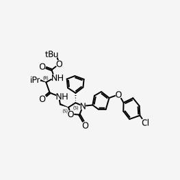 CC(C)[C@@H](NC(=O)OC(C)(C)C)C(=O)NC[C@@H]1OC(=O)N(c2ccc(Oc3ccc(Cl)cc3)cc2)[C@H]1c1ccccc1